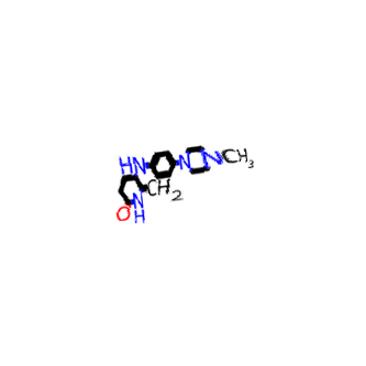 C=C1NC(=O)CCC1Nc1ccc(N2CCN(C)CC2)cc1